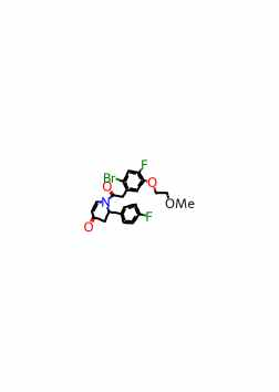 COCCOc1cc(CC(=O)N2C=CC(=O)CC2c2ccc(F)cc2)c(Br)cc1F